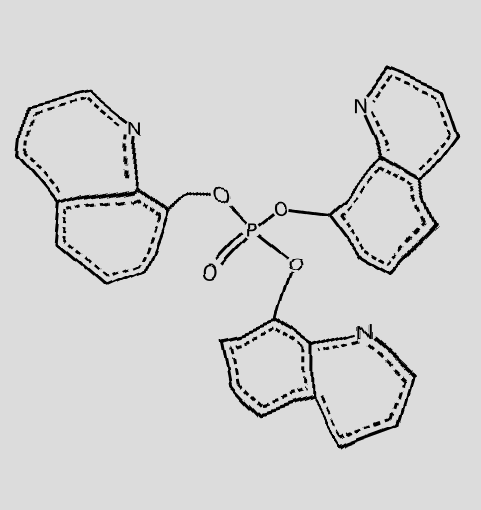 O=P(Oc1cccc2cccnc12)(Oc1cccc2cccnc12)Oc1cccc2cccnc12